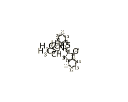 C[SH](C)(C)(C)CN1/C(=C2\Cc3ccccc3C2=O)Sc2ccccc21